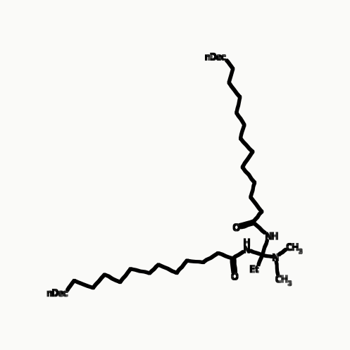 CCCCCCCCCCCCCCCCCCCCCC(=O)NC(CC)(NC(=O)CCCCCCCCCCCCCCCCCCCCC)N(C)C